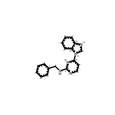 c1ccc(CNc2nccc(-n3cnc4ccccc43)n2)cc1